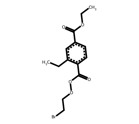 CCOC(=O)c1ccc(C(=O)OOCCBr)c(CC)c1